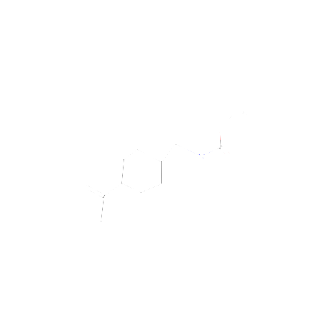 C=C(C)C1CCC(CNC(=O)OC(C)(C)C)CC1